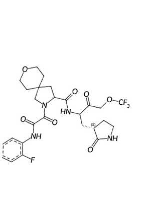 O=C(Nc1ccccc1F)C(=O)N1CC2(CCOCC2)CC1C(=O)NC(C[C@@H]1CCNC1=O)C(=O)COC(F)(F)F